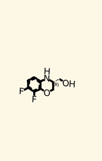 OC[C@@H]1COc2c(ccc(F)c2F)N1